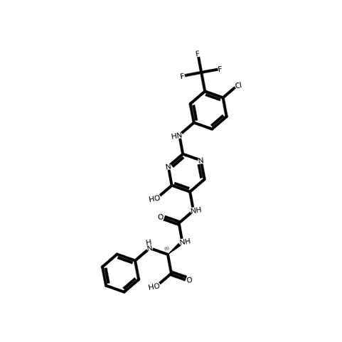 O=C(Nc1cnc(Nc2ccc(Cl)c(C(F)(F)F)c2)nc1O)N[C@H](Nc1ccccc1)C(=O)O